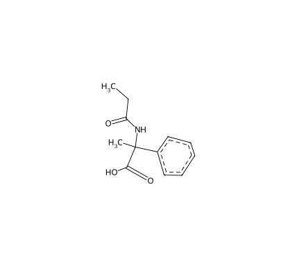 CCC(=O)NC(C)(C(=O)O)c1ccccc1